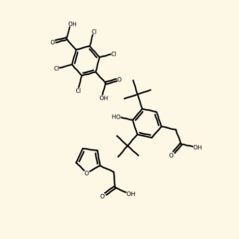 CC(C)(C)c1cc(CC(=O)O)cc(C(C)(C)C)c1O.O=C(O)Cc1ccco1.O=C(O)c1c(Cl)c(Cl)c(C(=O)O)c(Cl)c1Cl